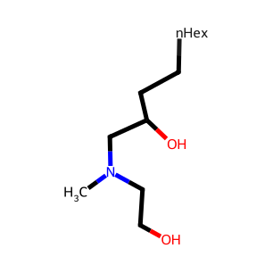 CCCCCCCCC(O)CN(C)CCO